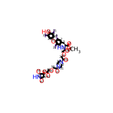 COC(=O)[C@H](Cc1cc(I)c(Oc2cc(I)c(O)c(I)c2)c(I)c1)NC(=O)COCC(=O)N1CCN(C(=O)COCC(=O)OC2CC(=O)NC2=O)CC1